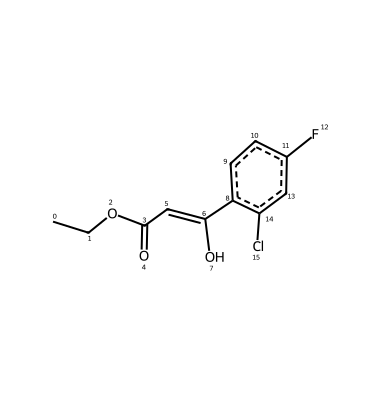 CCOC(=O)/C=C(\O)c1ccc(F)cc1Cl